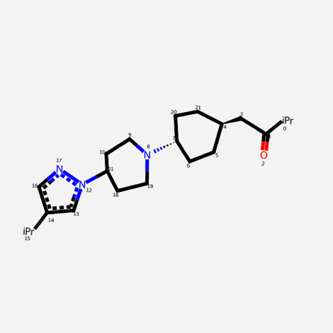 CC(C)C(=O)C[C@H]1CC[C@H](N2CCC(n3cc(C(C)C)cn3)CC2)CC1